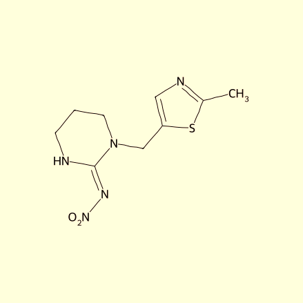 Cc1ncc(CN2CCCNC2=N[N+](=O)[O-])s1